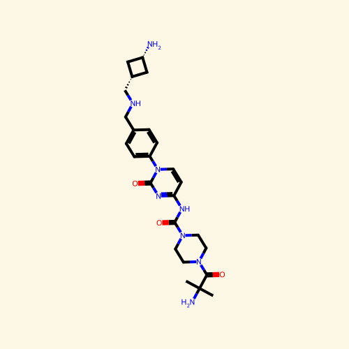 CC(C)(N)C(=O)N1CCN(C(=O)Nc2ccn(-c3ccc(CNC[C@H]4C[C@@H](N)C4)cc3)c(=O)n2)CC1